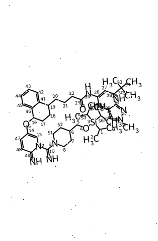 CC(C)[Si](OCC1CCN(C(=N)n2cc(O[C@@H]3CCC(CCCC(=O)N/C(=C/C(=N)C(C)(C)C)Nc4cnn(C)c4)c4ccccc43)ccc2=N)CC1)(C(C)C)C(C)C